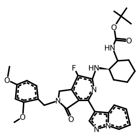 COc1ccc(CN2Cc3c(F)c(N[C@@H]4CCCCC4NC(=O)OC(C)(C)C)nc(-c4cnn5ccccc45)c3C2=O)c(OC)c1